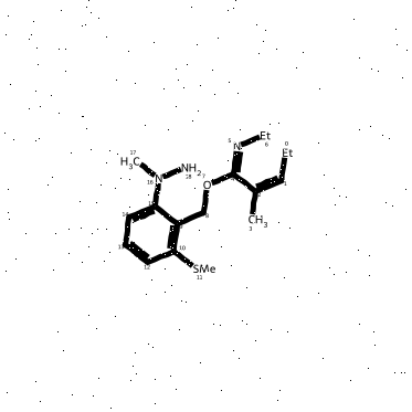 CC/C=C(C)\C(=N/CC)OCc1c(SC)cccc1N(C)N